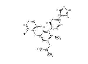 CN(C)Cc1[c]c(Cc2c(F)cccc2F)cc(-c2ccc(-n3nccn3)cn2)c1[N+](=O)[O-]